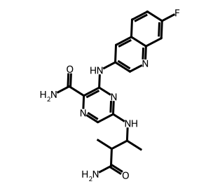 CC(Nc1cnc(C(N)=O)c(Nc2cnc3cc(F)ccc3c2)n1)C(C)C(N)=O